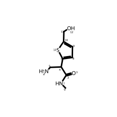 CNC(=O)C(CN)c1ccc(CO)s1